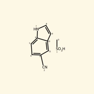 CS(=O)(=O)O.N#Cc1ccc2[nH]ccc2c1